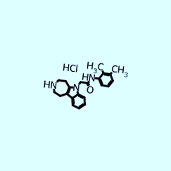 Cc1cccc(NC(=O)Cn2c3c(c4ccccc42)CCNCC3)c1C.Cl